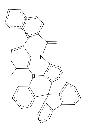 C=C(c1ccccc1)N1C2=C(B3c4ccccc4C4(c5ccccc5-c5ccccc54)c4cccc1c43)C(C)CC=C2Cc1ccccc1